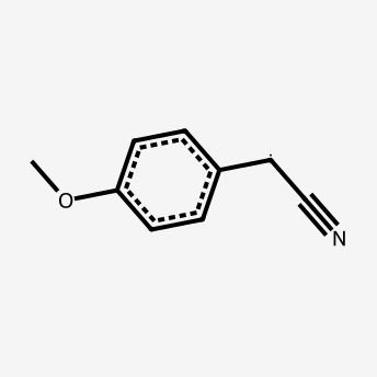 COc1ccc([CH]C#N)cc1